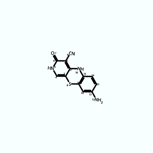 N#Cc1c2c(c[nH]c1=O)Sc1cc(N)ccc1N2